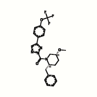 CO[C@@H]1CC[C@H](Cc2ccccc2)N(C(=O)n2ncc(-c3ccc(OC(F)(F)F)cc3)n2)C1